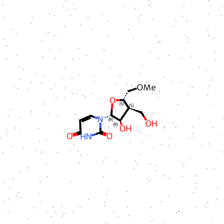 COC[C@H]1O[C@@H](n2ccc(=O)[nH]c2=O)[C@H](O)[C@@H]1CO